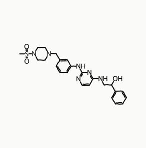 CS(=O)(=O)N1CCN(Cc2cccc(Nc3nccc(NCC(O)c4ccccc4)n3)c2)CC1